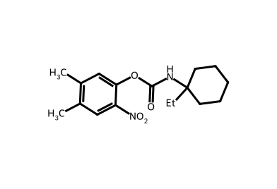 CCC1(NC(=O)Oc2cc(C)c(C)cc2[N+](=O)[O-])CCCCC1